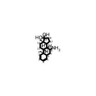 C[C@]12C=CC=CC1CC(N)[C@@H]1[C@H]2CC[C@@]2(C)[C@H]1CCC2(O)O